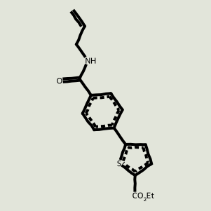 C=CCNC(=O)c1ccc(-c2ccc(C(=O)OCC)s2)cc1